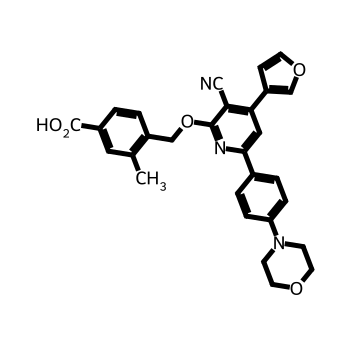 Cc1cc(C(=O)O)ccc1COc1nc(-c2ccc(N3CCOCC3)cc2)cc(-c2ccoc2)c1C#N